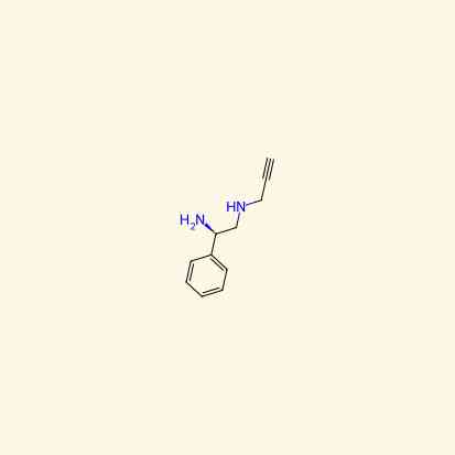 C#CCNC[C@H](N)c1ccccc1